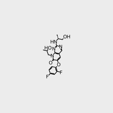 CC(O)Cn1c(=O)c(Oc2ccc(F)cc2F)cc2cnc(N[C@@H](C)CO)nc21